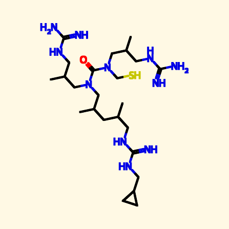 CC(CNC(=N)NCC1CC1)CC(C)CN(CC(C)CNC(=N)N)C(=O)N(CS)CC(C)CNC(=N)N